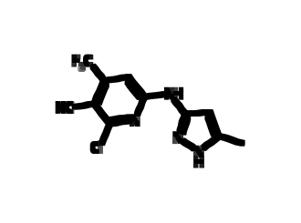 Cc1cc(Nc2cc(C(F)(F)F)c(C#N)c(Cl)n2)n[nH]1